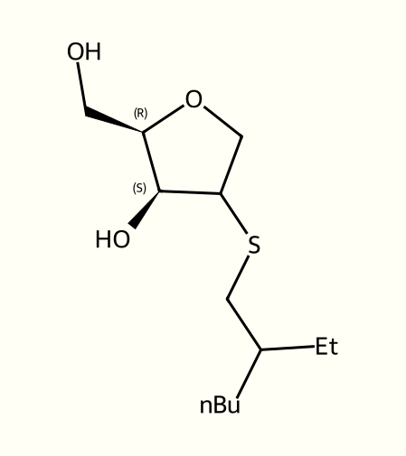 CCCCC(CC)CSC1CO[C@H](CO)[C@@H]1O